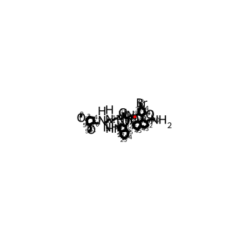 COc1ccc(CNC(=N)NCCNC(=O)C(Cc2c[nH]c3ccccc23)NC(=O)c2cc(Br)ccc2-c2c(C(N)=O)ccc3ccccc23)c(OC)c1